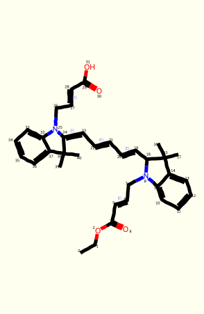 CCOC(=O)/C=C/CN1c2ccccc2C(C)(C)C1/C=C/C=C/C=C1/N(C/C=C/C(=O)O)c2ccccc2C1(C)C